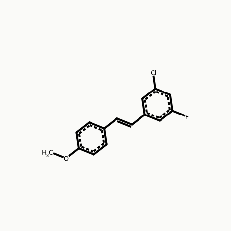 COc1ccc(C=Cc2cc(F)cc(Cl)c2)cc1